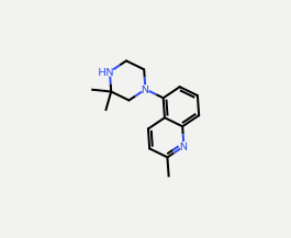 Cc1ccc2c(N3CCNC(C)(C)C3)cccc2n1